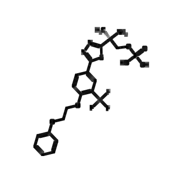 C[C@](N)(COP(=O)(O)O)c1nnc(-c2ccc(OCCOc3ccccc3)c(C(F)(F)F)c2)s1